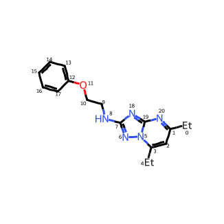 CCc1cc(CC)n2nc(NCCOc3ccccc3)nc2n1